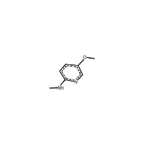 CNc1ccc(OC)cn1